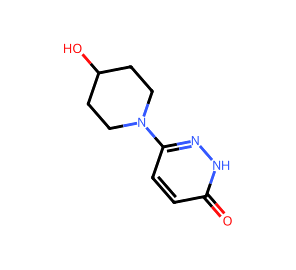 O=c1ccc(N2CCC(O)CC2)n[nH]1